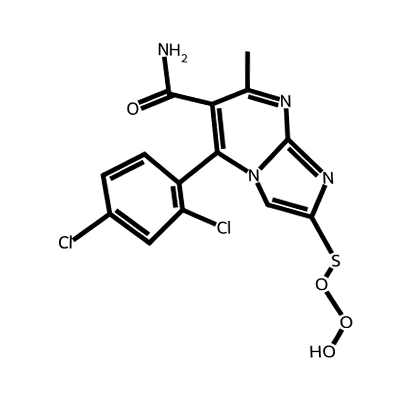 Cc1nc2nc(SOOO)cn2c(-c2ccc(Cl)cc2Cl)c1C(N)=O